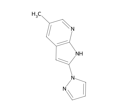 Cc1cnc2[nH]c(-n3cccn3)cc2c1